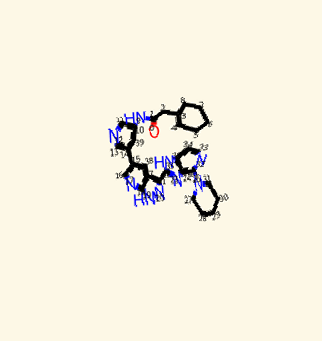 O=C(CC1CCCCC1)Nc1cncc(-c2cnc3[nH]nc(-c4nc5c(N6CCCCC6)nccc5[nH]4)c3c2)c1